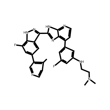 Cc1ccncc1-c1cc(F)c2[nH]nc(-c3nc4c(-c5cc(F)cc(NCCN(C)C)c5)ccnc4[nH]3)c2c1